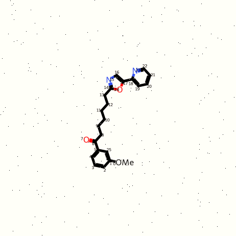 COc1cccc(C(=O)CCCCCCc2ncc(-c3ccccn3)o2)c1